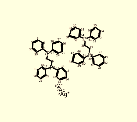 CC(=O)[O-].[Ag+].c1ccc(P(CCP(c2ccccc2)c2ccccc2)c2ccccc2)cc1.c1ccc(P(CCP(c2ccccc2)c2ccccc2)c2ccccc2)cc1